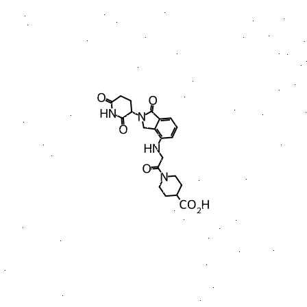 O=C1CCC(N2Cc3c(NCC(=O)N4CCC(C(=O)O)CC4)cccc3C2=O)C(=O)N1